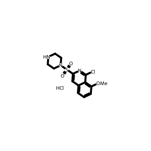 COc1cccc2cc(S(=O)(=O)N3CCNCC3)nc(Cl)c12.Cl